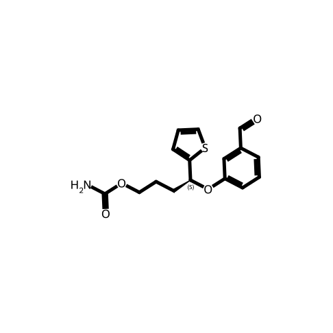 NC(=O)OCCC[C@H](Oc1cccc(C=O)c1)c1cccs1